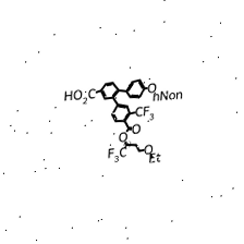 CCCCCCCCCOc1ccc(-c2ccc(C(=O)O)cc2-c2ccc(C(=O)O[C@H](CCOCC)C(F)(F)F)c(C(F)(F)F)c2)cc1